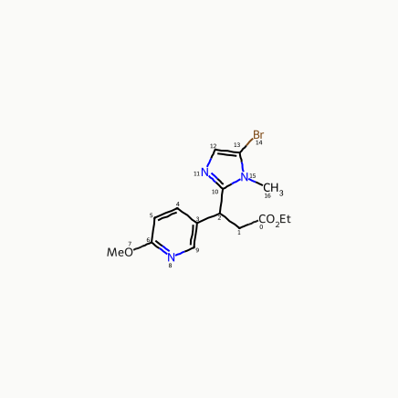 CCOC(=O)CC(c1ccc(OC)nc1)c1ncc(Br)n1C